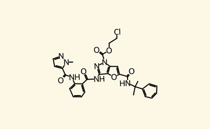 Cn1nccc1C(=O)Nc1ccccc1C(=O)Nc1nn(C(=O)OCCCl)c2cc(C(=O)NC(C)(C)c3ccccc3)oc12